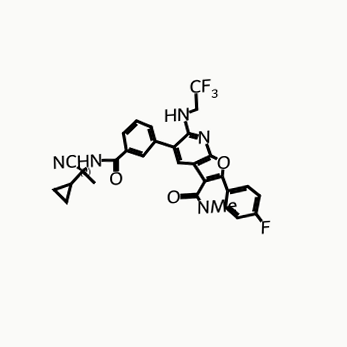 CNC(=O)c1c(-c2ccc(F)cc2)oc2nc(NCC(F)(F)F)c(-c3cccc(C(=O)N[C@@](C)(C#N)C4CC4)c3)cc12